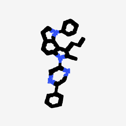 C=C/C=c1\c(=C)n(-c2cnc(-c3ccccc3)cn2)c2ccc3ccn(-c4ccccc4)c3c12